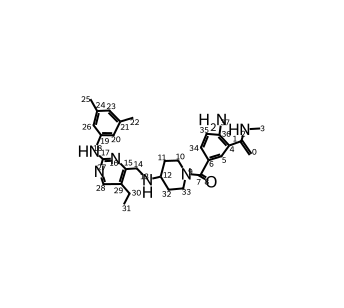 C=C(NC)c1cc(C(=O)N2CCC(NCc3nc(Nc4cc(C)cc(C)c4)ncc3CC)CC2)ccc1N